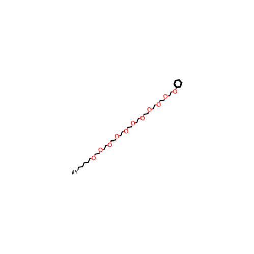 CC(C)CCCCCOCCOCCOCCOCCOCCOCCOCCOCCOCCOCCOc1ccccc1